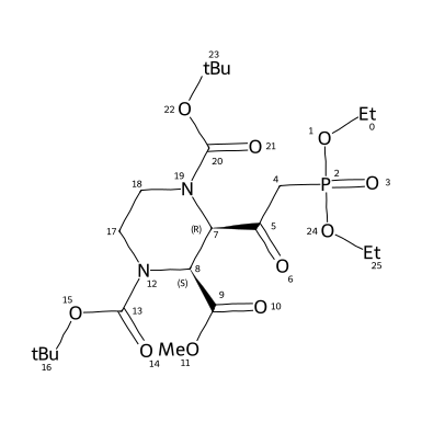 CCOP(=O)(CC(=O)[C@H]1[C@@H](C(=O)OC)N(C(=O)OC(C)(C)C)CCN1C(=O)OC(C)(C)C)OCC